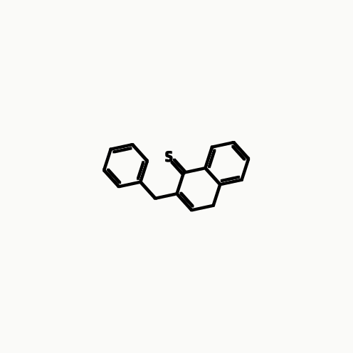 S=C1C(Cc2ccccc2)=CCc2ccccc21